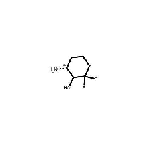 N[C@@H]1CCCC(F)(F)C1O